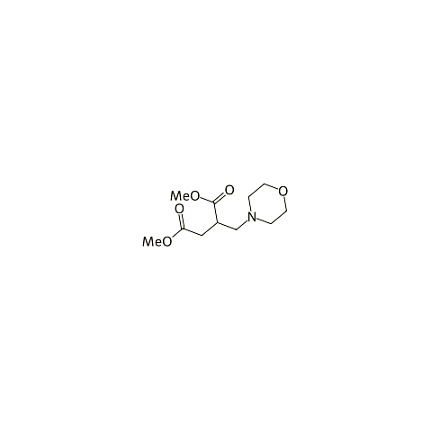 COC(=O)CC(CN1CCOCC1)C(=O)OC